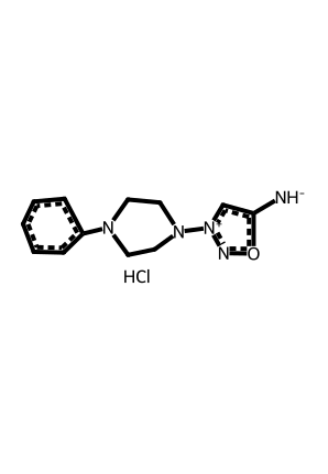 Cl.[NH-]c1c[n+](N2CCN(c3ccccc3)CC2)no1